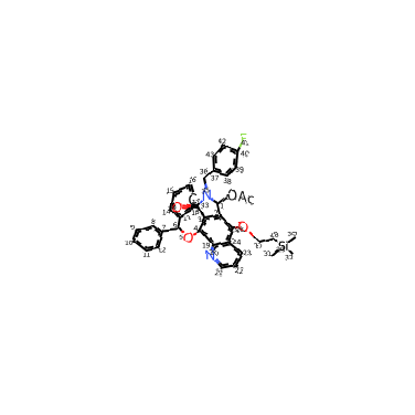 CC(=O)OC1c2c(c(OC(c3ccccc3)c3ccccc3)c3ncccc3c2OCC[Si](C)(C)C)C(=O)N1Cc1ccc(F)cc1